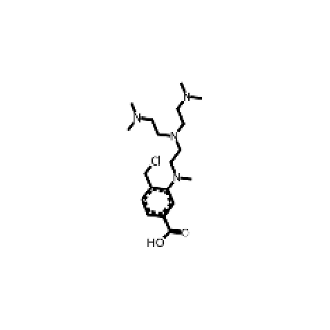 CN(C)CCN(CCN(C)C)CCN(C)c1cc(C(=O)O)ccc1CCl